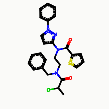 CC(Cl)C(=O)N(CCN(C(=O)c1cccs1)c1ccn(-c2ccccc2)n1)Cc1ccccc1